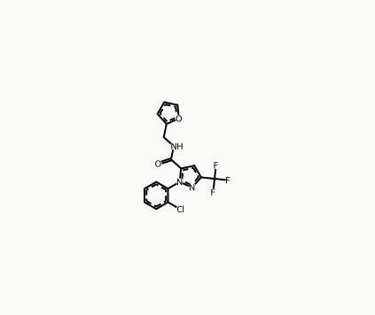 O=C(NCc1ccco1)c1cc(C(F)(F)F)nn1-c1ccccc1Cl